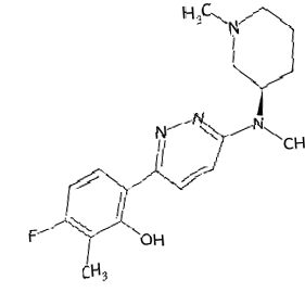 Cc1c(F)ccc(-c2ccc(N(C)[C@@H]3CCCN(C)C3)nn2)c1O